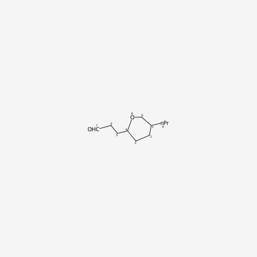 CCCC1CCC(CCC=O)OC1